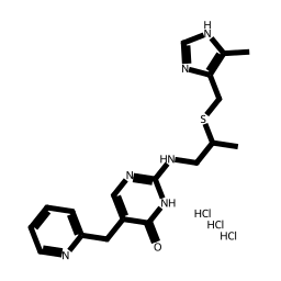 Cc1[nH]cnc1CSC(C)CNc1ncc(Cc2ccccn2)c(=O)[nH]1.Cl.Cl.Cl